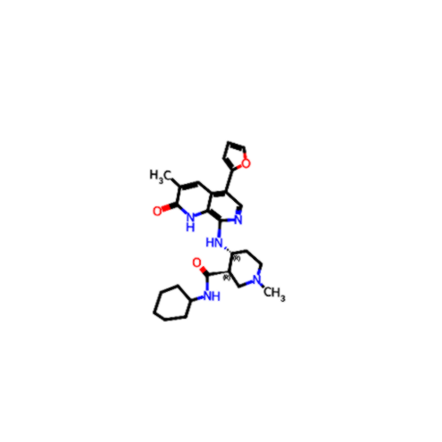 Cc1cc2c(-c3ccco3)cnc(N[C@@H]3CCN(C)C[C@H]3C(=O)NC3CCCCC3)c2[nH]c1=O